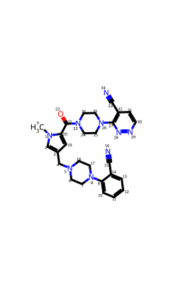 Cn1cc(CN2CCN(c3ccccc3C#N)CC2)cc1C(=O)N1CCN(c2nnccc2C#N)CC1